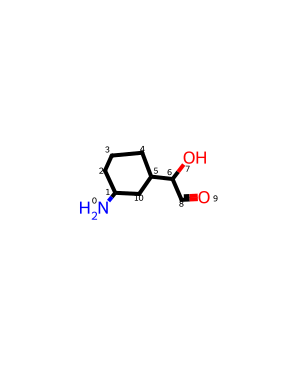 NC1CCCC(C(O)C=O)C1